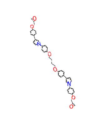 c1cc(-c2ccn(-c3ccc(OCC4CO4)cc3)c2)ccc1OCCCCOc1ccc(-n2ccc(-c3ccc(OCC4CO4)cc3)c2)cc1